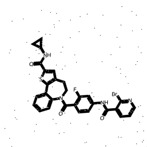 O=C(NC1CC1)c1cc2c(s1)-c1ccccc1N(C(=O)c1ccc(NC(=O)c3cccnc3Br)cc1F)CC2